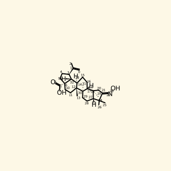 C=C(C)[C@@H]1CC[C@]2(C(=O)O)CC[C@]3(C)[C@H](CC[C@@H]4[C@@]5(C)C/C(=N\O)C(C)(C)[C@@H]5CC[C@]43C)[C@@H]12